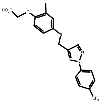 Cc1cc(SCc2cnn(-c3ccc(C(F)(F)F)cc3)n2)ccc1OCC(=O)O